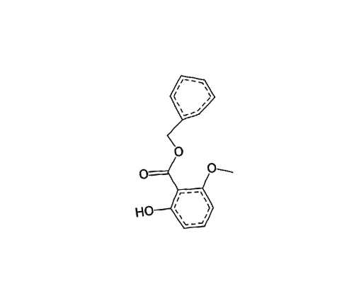 COc1cccc(O)c1C(=O)OCc1ccccc1